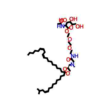 CCCCC/C=C\C/C=C\CCCCCCCCC1(CCCCCCCC/C=C\CC(C)C)OC[C@H](CN(C)CC(=O)NCCOCCOCCO[C@@H]2OC(CO)[C@H](O)C(O)C2NC(C)=O)O1